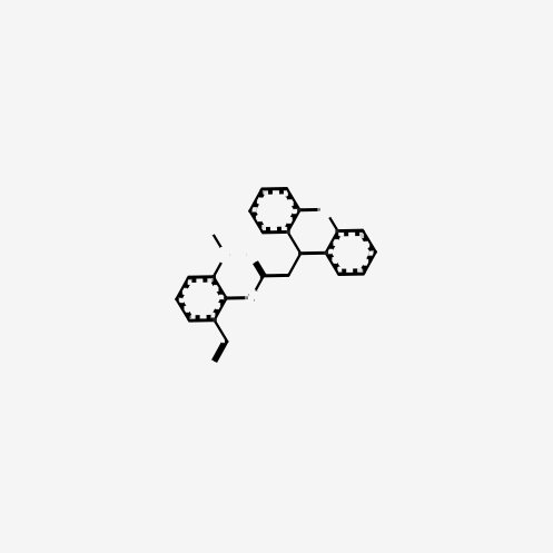 C=Cc1cccc(OC)c1NC(=O)CC1c2ccccc2Oc2ccccc21